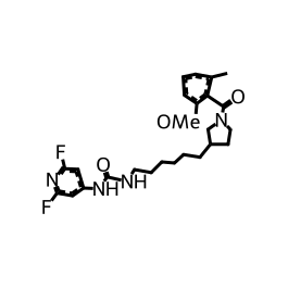 COc1cccc(C)c1C(=O)N1CCC(CCCCCCNC(=O)Nc2cc(F)nc(F)c2)C1